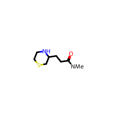 CNC(=O)CCC1CSCCN1